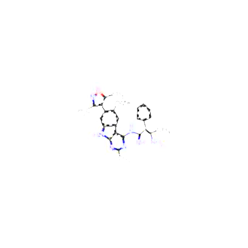 COc1cc2c(cc1-c1c(C)noc1C)[nH]c1nc(C)nc(NC(=N)/C(=C(/C)N)c3ccccc3)c12